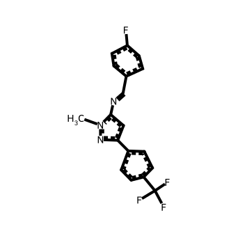 Cn1nc(-c2ccc(C(F)(F)F)cc2)cc1N=Cc1ccc(F)cc1